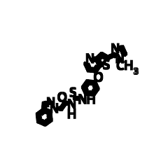 Cn1ccnc1-c1cc2nccc(Oc3ccc(NC(=S)NC(=O)Cn4ncc5ccccc54)cc3)c2s1